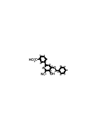 N#Cc1nc(-c2cccc(C(=O)O)c2)cc(OCc2ccccc2)c1O